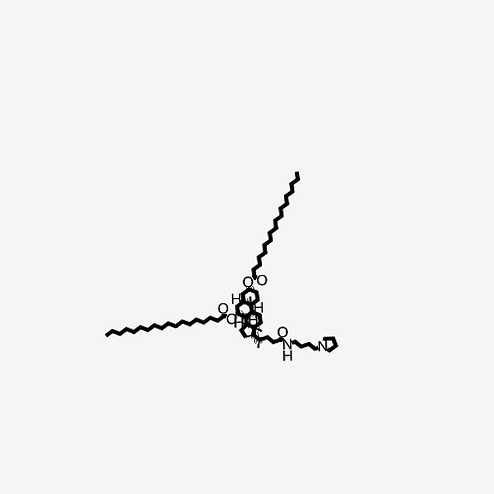 CCCCCCCCCCCCCCCCCC(=O)O[C@@H]1CC[C@@]2(C)[C@@H](C1)C[C@H](OC(=O)CCCCCCCCCCCCCCCCC)[C@@H]1[C@@H]2CC[C@]2(C)[C@@H]([C@H](C)CCC(=O)NCCCCN3CCCC3)CC[C@@H]12